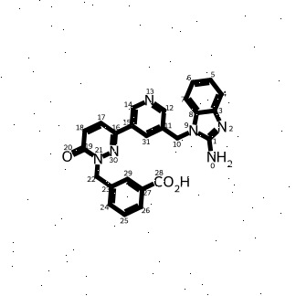 Nc1nc2ccccc2n1Cc1cncc(-c2ccc(=O)n(Cc3cccc(C(=O)O)c3)n2)c1